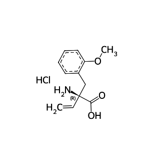 C=C[C@](N)(Cc1ccccc1OC)C(=O)O.Cl